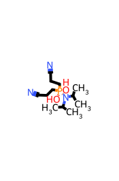 CC(C)N(C(C)C)P(O)(O)(CCC#N)CCC#N